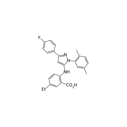 CCc1ccc(Nc2cc(-c3ccc(F)cc3)nn2-c2cc(C)ccc2C)c(C(=O)O)c1